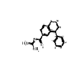 NC(N)=NC(=O)c1ccc2c(c1)C(c1ccccc1)CCC2